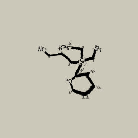 CC(C)C[Si](CCCC#N)(CC(C)C)C1CCCCO1